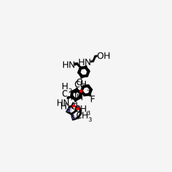 C=C(NCc1cc(F)ccc1Oc1ccc(NCCO)c(C=N)c1)N/C1=C/C(C(C)(C)C)=C/CCCN1c1ccc(C)cc1